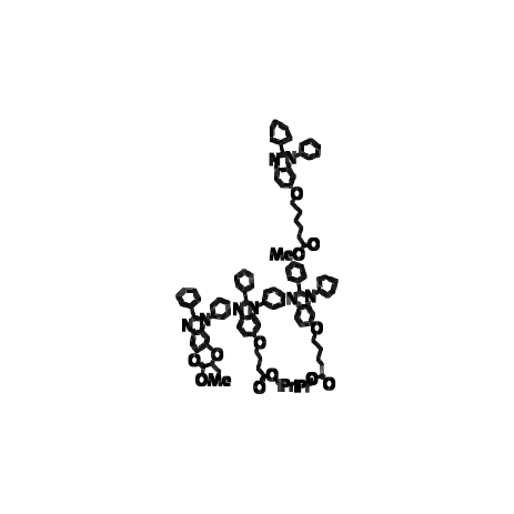 CC(C)OC(=O)CCCCOc1ccc2nc(-c3ccccc3)n(-c3ccccc3)c2c1.CC(C)OC(=O)CCCOc1ccc2nc(-c3ccccc3)n(-c3ccccc3)c2c1.COC(=O)C(C)Oc1ccc2nc(-c3ccccc3)n(-c3ccccc3)c2c1.COC(=O)CCCCCOc1ccc2nc(-c3ccccc3)n(-c3ccccc3)c2c1